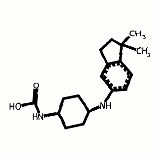 CC1(C)CCc2cc(NC3CCC(NC(=O)O)CC3)ccc21